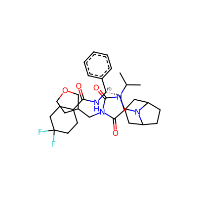 CC(C)N1C(=O)N(CC2CCOC2)C(=O)C12CC1CCC(C2)N1CC[C@H](NC(=O)C1CCC(F)(F)CC1)c1ccccc1